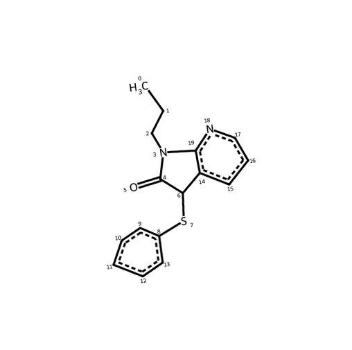 CCCN1C(=O)C(Sc2ccccc2)c2cccnc21